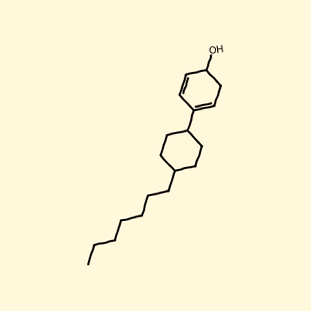 CCCCCCCC1CCC(C2=CCC(O)C=C2)CC1